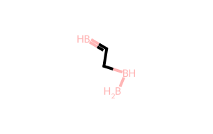 B=CCBB